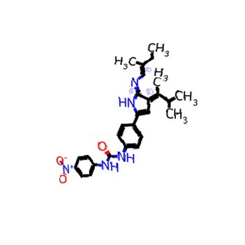 CC/C(C)=C/N=C1/NC(c2ccc(NC(=O)Nc3ccc([N+](=O)[O-])cc3)cc2)=C/C1=C(/C)C(C)C